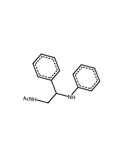 CC(=O)NCC(Nc1ccccc1)c1ccccc1